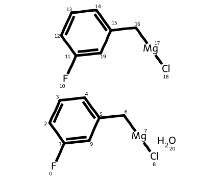 Fc1cccc([CH2][Mg][Cl])c1.Fc1cccc([CH2][Mg][Cl])c1.O